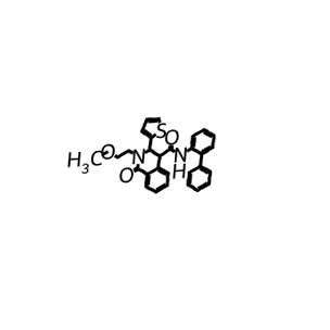 COCCN1C(=O)c2ccccc2C(C(=O)Nc2ccccc2-c2ccccc2)C1c1cccs1